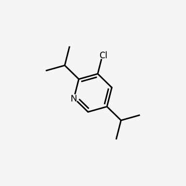 CC(C)c1cnc(C(C)C)c(Cl)c1